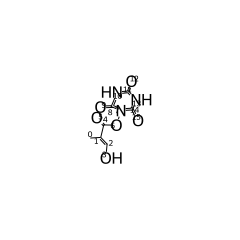 CC(=CO)C(=O)On1c(=O)[nH]c(=O)[nH]c1=O